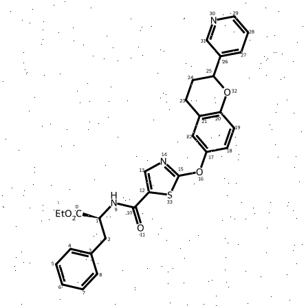 CCOC(=O)[C@H](Cc1ccccc1)NC(=O)c1cnc(Oc2ccc3c(c2)CCC(c2cccnc2)O3)s1